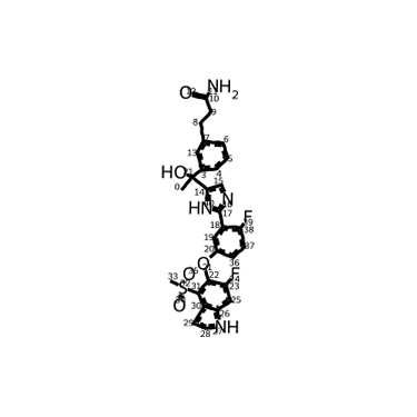 CC(O)(c1cccc(CCC(N)=O)c1)c1cnc(-c2cc(Oc3c(F)cc4[nH]ccc4c3S(C)(=O)=O)ccc2F)[nH]1